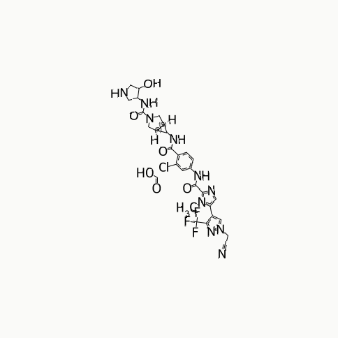 Cn1c(-c2cn(CC#N)nc2C(F)(F)F)cnc1C(=O)Nc1ccc(C(=O)NC2[C@H]3CN(C(=O)NC4CNCC4O)C[C@@H]23)c(Cl)c1.O=CO